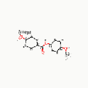 CCCCCCCOC1CCC(C(=O)OC2CCC(OCCC)CC2)CC1